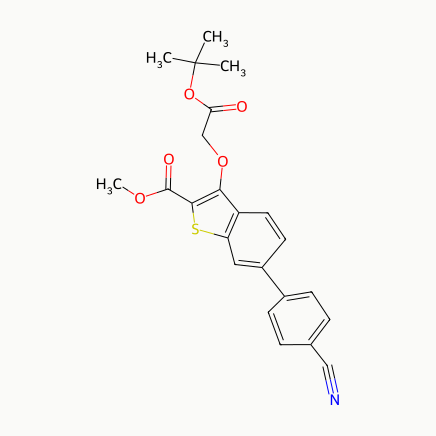 COC(=O)c1sc2cc(-c3ccc(C#N)cc3)ccc2c1OCC(=O)OC(C)(C)C